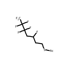 CC(=O)SCCC(F)CC(F)(F)C(F)(F)C(F)(F)F